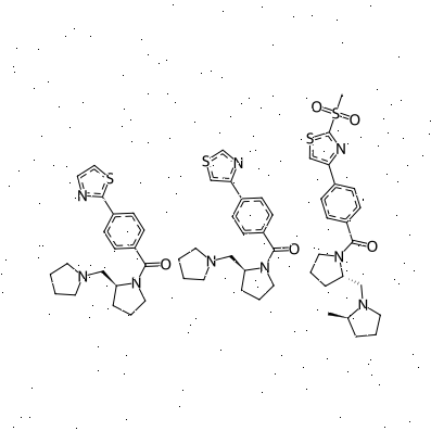 C[C@@H]1CCCN1C[C@@H]1CCCN1C(=O)c1ccc(-c2csc(S(C)(=O)=O)n2)cc1.O=C(c1ccc(-c2cscn2)cc1)N1CCC[C@H]1CN1CCCC1.O=C(c1ccc(-c2nccs2)cc1)N1CCC[C@H]1CN1CCCC1